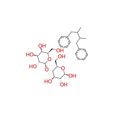 CC(Cc1ccccc1)C(C)Cc1ccccc1.OC[C@H]1O[C@@H](O[C@H]2[C@H](O)[C@@H](O)[C@H](O)O[C@@H]2CO)[C@H](O)[C@@H](O)[C@H]1O